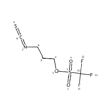 O=S(=O)(OCCCN=C=S)C(F)(F)F